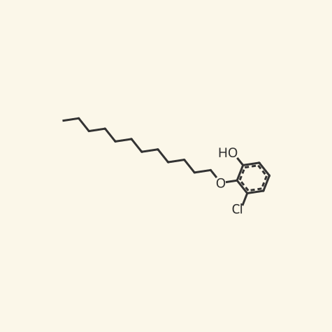 CCCCCCCCCCCCOc1c(O)cccc1Cl